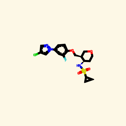 O=S(=O)(N[C@H]1CCOC[C@@H]1COc1ccc(-n2cc(Cl)cn2)cc1F)C1CC1